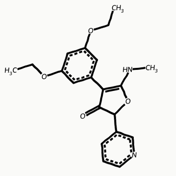 CCOc1cc(OCC)cc(C2=C(NC)OC(c3cccnc3)C2=O)c1